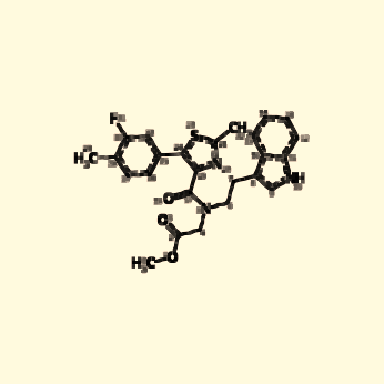 COC(=O)CN(CCc1c[nH]c2ccccc12)C(=O)c1nc(C)sc1-c1ccc(C)c(F)c1